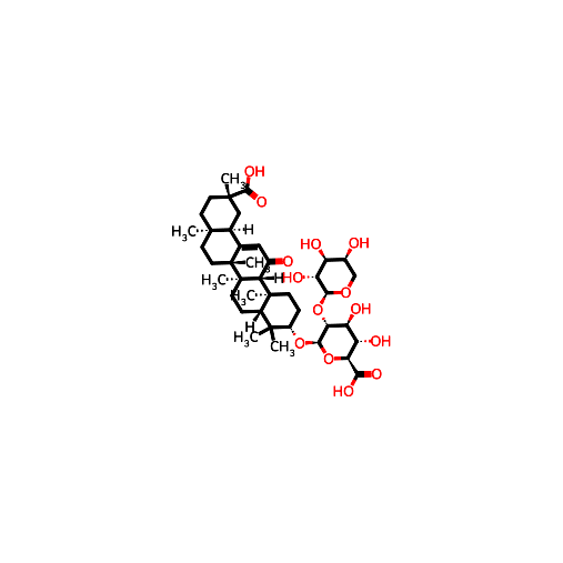 CC1(C)[C@@H](O[C@@H]2O[C@H](C(=O)O)[C@@H](O)[C@H](O)[C@H]2O[C@@H]2OC[C@H](O)[C@H](O)[C@H]2O)CC[C@]2(C)[C@H]3C(=O)C=C4[C@@H]5C[C@@](C)(C(=O)O)CC[C@]5(C)CC[C@@]4(C)[C@]3(C)CC[C@@H]12